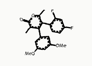 COc1cc(OC)cc(-c2c(-c3ccc(F)cc3F)c(C)oc(=O)c2C)c1